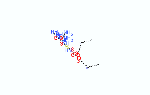 CCCCCCCC/C=C\CCCCCCCC(=O)OC[C@@H](COC(=O)CCC(=O)NCCSSCCNC(=O)C(CCCNC(=O)C(N)CCCN)NC(=O)C(N)CCCN)OC(=O)CCCCCCC/C=C\CCCCCCCC